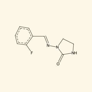 O=C1NCCN1/N=C/c1ccccc1F